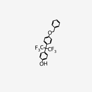 Oc1ccc(C(c2ccc(OCc3ccccc3)cc2)(C(F)(F)F)C(F)(F)F)cc1